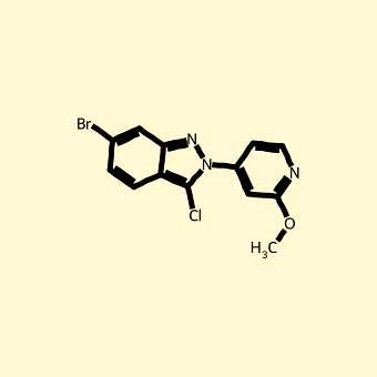 COc1cc(-n2nc3cc(Br)ccc3c2Cl)ccn1